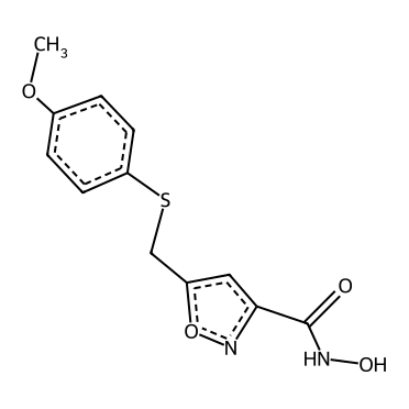 COc1ccc(SCc2cc(C(=O)NO)no2)cc1